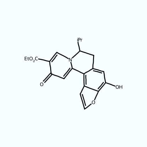 CCOC(=O)c1cn2c(cc1=O)-c1c(cc(O)c3occc13)CC2C(C)C